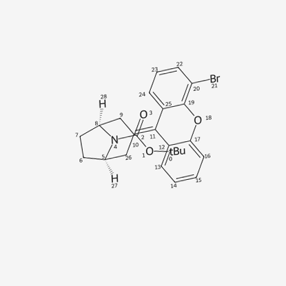 CC(C)(C)OC(=O)N1[C@@H]2CC[C@H]1C/C(=C1/c3ccccc3Oc3c(Br)cccc31)C2